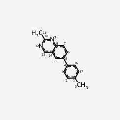 Cc1ccc(-c2ccc3nc(C)ncc3c2)cc1